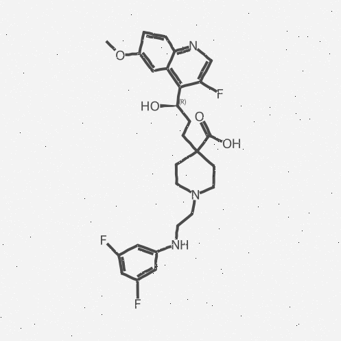 COc1ccc2ncc(F)c([C@H](O)CCC3(C(=O)O)CCN(CCNc4cc(F)cc(F)c4)CC3)c2c1